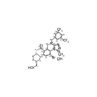 CCN(C[C@H]1CC[C@H](CO)CC1)c1ccc(Br)cc1CN(Cc1cc(C(F)(F)F)cc(C(F)(F)F)c1)c1nnn(C)n1.Cl